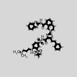 CN(C)CCCNc1ccc(S(=O)(=O)NC(=O)c2nc(N3CCc4cccc(C(=O)Nc5nc6ccccc6s5)c4C3)sc2CCc2ccccc2)cc1S(=O)(=O)C(F)(F)F